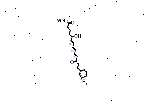 COC(=O)CCCC(O)/C=C/C=C/C=C/C(=O)CCc1cccc(C(F)(F)F)c1